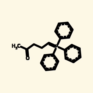 CC(=O)CCC=P(c1ccccc1)(c1ccccc1)c1ccccc1